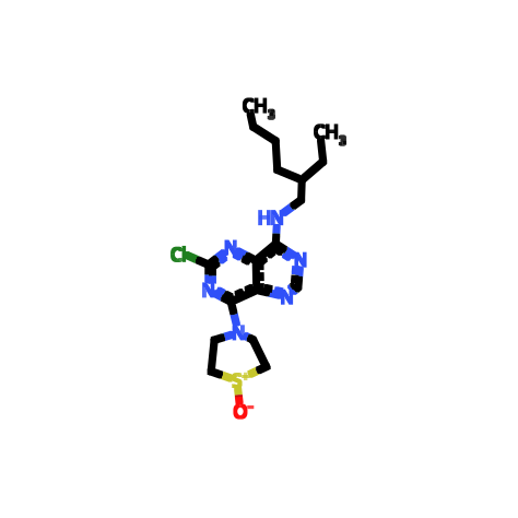 CCCCC(CC)CNc1ncnc2c(N3CC[S+]([O-])CC3)nc(Cl)nc12